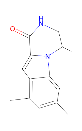 Cc1cc(C)c2cc3n(c2c1)C(C)CNC3=O